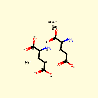 NC(CCC(=O)[O-])C(=O)[O-].NC(CCC(=O)[O-])C(=O)[O-].[Ca+2].[Na+].[Na+]